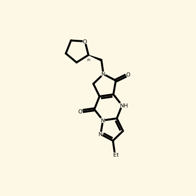 CCc1cc2[nH]c3c(c(=O)n2n1)CN(C[C@H]1CCCO1)C3=O